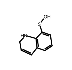 OSc1cccc2c1NCC=C2